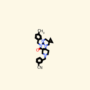 Cc1ccc(CN2C(=O)C3=C(CCN(Cc4cccc(C#N)c4)C3)N3CC4(CC4)CN=C23)cc1